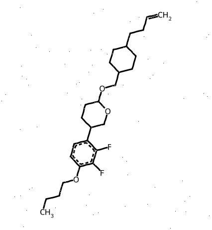 C=CCCC1CCC(COC2CCC(c3ccc(OCCCC)c(F)c3F)CO2)CC1